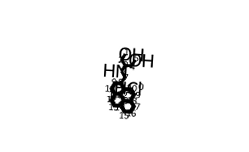 Cl.OCC(CO)NCc1ccc2ccc3cccc4ccc1c2c34